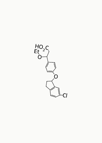 CCOC(CC(=O)O)c1ccc(OC2CCc3ccc(Cl)cc32)cc1